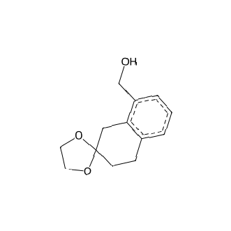 OCc1cccc2c1CC1(CC2)OCCO1